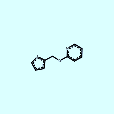 c1ccc(OCc2cccs2)nc1